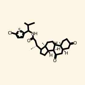 CC(C)C(NC(=O)C[C@@H](C)C1CC[C@H]2[C@@H]3C(=O)C[C@@H]4CC(=O)CC[C@]4(C)[C@H]3CC[C@]12C)c1ccc(Cl)s1